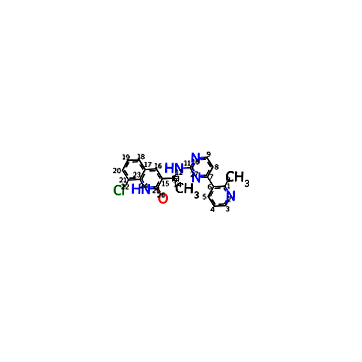 Cc1ncccc1-c1ccnc(N[C@@H](C)c2cc3cccc(Cl)c3[nH]c2=O)n1